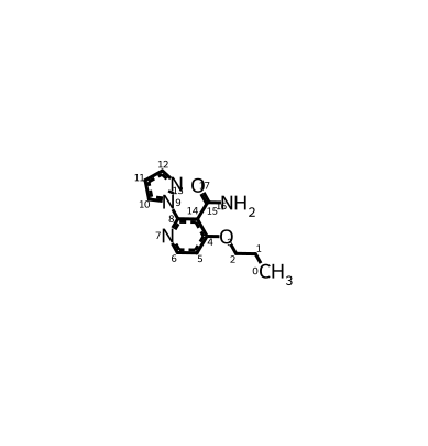 CCCOc1ccnc(-n2cccn2)c1C(N)=O